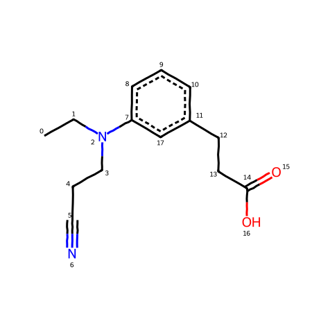 CCN(CCC#N)c1cccc(CCC(=O)O)c1